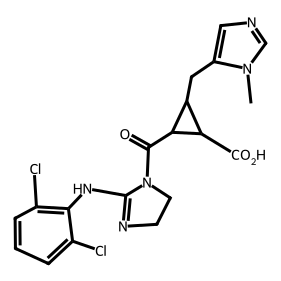 Cn1cncc1CC1C(C(=O)O)C1C(=O)N1CCN=C1Nc1c(Cl)cccc1Cl